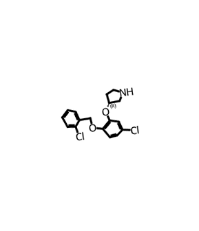 Clc1ccc(OCc2ccccc2Cl)c(O[C@@H]2CCNC2)c1